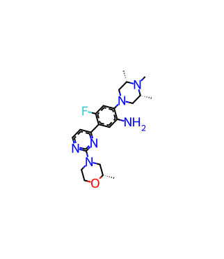 C[C@@H]1CN(c2cc(F)c(-c3ccnc(N4CCO[C@@H](C)C4)n3)cc2N)C[C@H](C)N1C